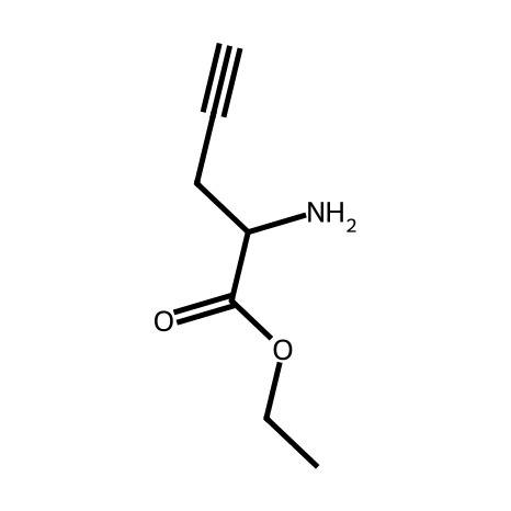 C#CCC(N)C(=O)OCC